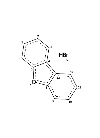 Br.c1ccc2c(c1)oc1ccccc12